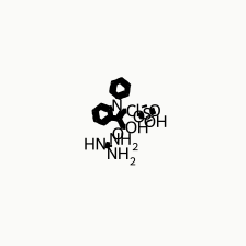 CS(=O)(=O)O.N=C(N)N.O=C(O)c1c(Cl)n(-c2ccccc2)c2ccccc12